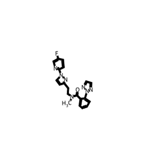 CN(CCc1ccn(-c2ccc(F)cn2)n1)C(=O)c1ccccc1-n1nccn1